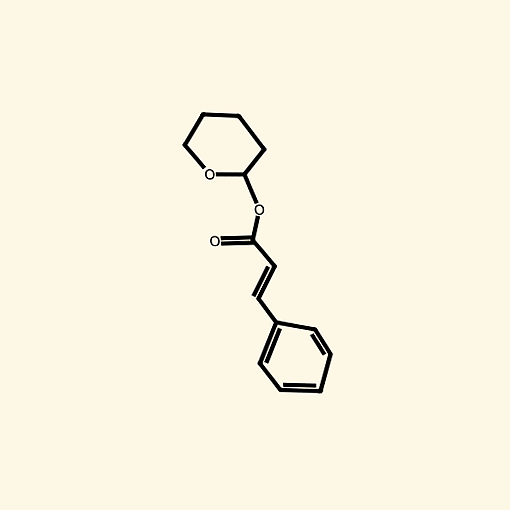 O=C(C=Cc1ccccc1)OC1CCCCO1